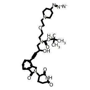 CC(C)(C)OC(=O)N(CCOCCN1CCC(N=[N+]=[N-])CC1)CC(O)C#Cc1cccc2c1CN(C1CCC(=O)NC1=O)C2=O